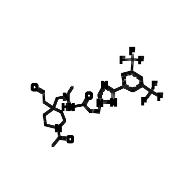 CC(=O)N1CCC(CC=O)(CN(C)NC(=O)/C=C\n2cnc(-c3cc(C(F)(F)F)cc(C(F)(F)F)c3)n2)CC1